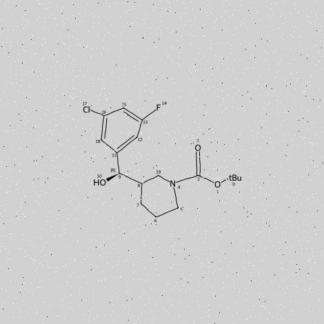 CC(C)(C)OC(=O)N1CCCC([C@@H](O)c2cc(F)cc(Cl)c2)C1